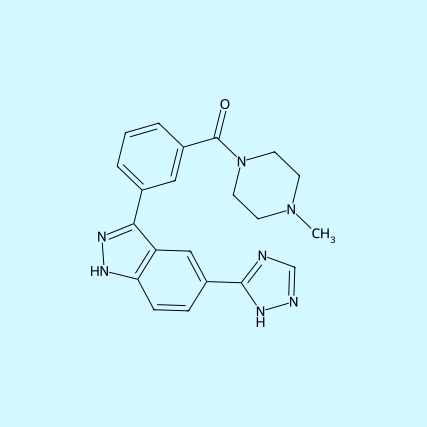 CN1CCN(C(=O)c2cccc(-c3n[nH]c4ccc(-c5ncn[nH]5)cc34)c2)CC1